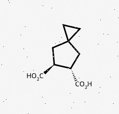 O=C(O)[C@H]1CC2(CC2)C[C@@H]1C(=O)O